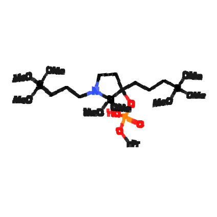 CCCOP(=O)(O)OC1(CCC[Si](OC)(OC)OC)CCN(CCC[Si](OC)(OC)OC)[Si]1(OC)OC